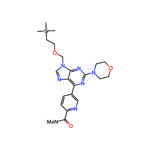 CNC(=O)c1ccc(-c2nc(N3CCOCC3)nc3c2ncn3COCC[Si](C)(C)C)cn1